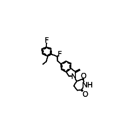 C=C1c2ccc(CC(F)c3cc(F)ccc3CC)cc2CN1C1CCC(=O)NC1=O